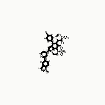 COC(=O)C(OC(C)(C)C)c1c(C)c2c3c(cc(-c4ccnc(-c5ccc6c(cnn6C)c5)c4)n3CCN2S(C)(=O)=O)c1-c1ccc(C)cc1